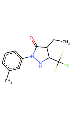 CCC1C(=O)N(c2cccc(C)c2)NC1C(F)(F)F